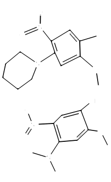 COc1cc(N(C)C)c([N+](=O)[O-])cc1Cl.COc1cc(N2CCCCC2)c([N+](=O)[O-])cc1Cl